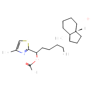 CC(=O)OC(CCCC(C)[C@H]1CC[C@H]2[C@@H](O)CCC[C@]12C)c1nc(C)cs1